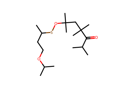 CC(C)OCCC(C)SOC(C)(C)CC(C)(C)C(=O)C(C)C